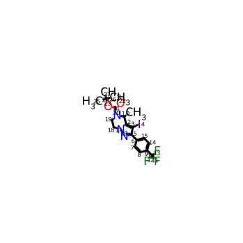 CC1c2c(I)c(-c3ccc(C(F)(F)F)cc3)nn2CCN1C(=O)OC(C)(C)C